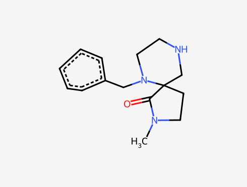 CN1CCC2(CNCCN2Cc2ccccc2)C1=O